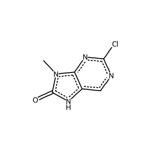 Cn1c(=O)[nH]c2cnc(Cl)nc21